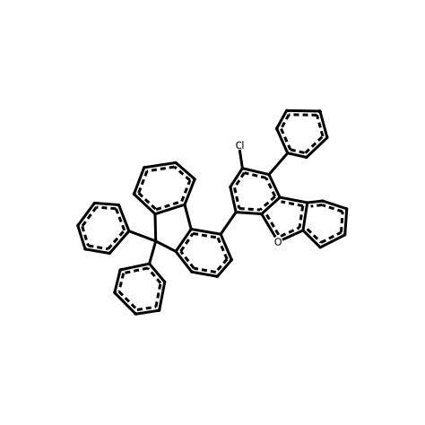 Clc1cc(-c2cccc3c2-c2ccccc2C3(c2ccccc2)c2ccccc2)c2oc3ccccc3c2c1-c1ccccc1